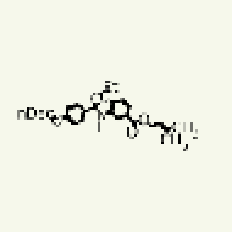 CCCCCCCCCCOc1ccc(C(=O)Nc2cc(C(=O)OCC=C(C)C)ccc2OCC)cc1